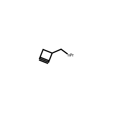 CCCCC1C#CC1